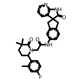 Cc1cc(F)ccc1C1CCC(C)(C)C(=O)N1CC(=O)Nc1ccc2c(c1)CC1(C2)C(=O)Nc2ncccc21